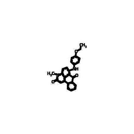 CCOc1ccc(Nc2ccc3c4c(cc(=O)n3C)-c3ccccc3C(=O)c24)cc1